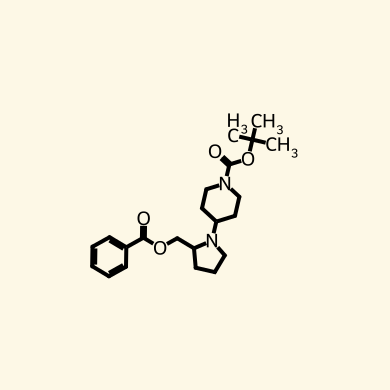 CC(C)(C)OC(=O)N1CCC(N2CCCC2COC(=O)c2ccccc2)CC1